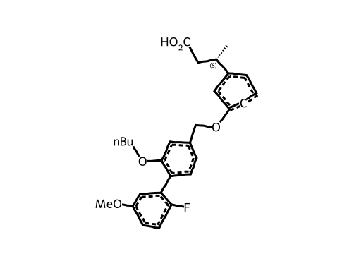 CCCCOc1cc(COc2cccc([C@@H](C)CC(=O)O)c2)ccc1-c1cc(OC)ccc1F